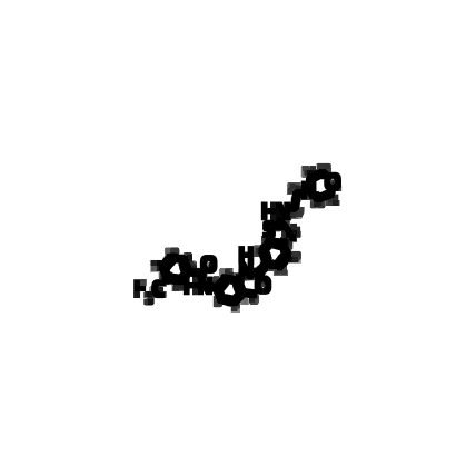 Cc1ccc(NC(=O)c2cccc(C(F)(F)F)c2)cc1NC(=O)c1ccc2nc(NCCN3CCOCC3)sc2c1